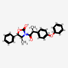 C[C@H](C(=O)N1C(=O)O[C@H](c2ccccc2)[C@@H]1C)c1ccc(Oc2ccccc2)cc1